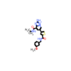 COc1cccc(CNC(=O)c2cc(-c3cc(C(=O)NC(C)C)c4nc(N)nn4c3)cs2)c1